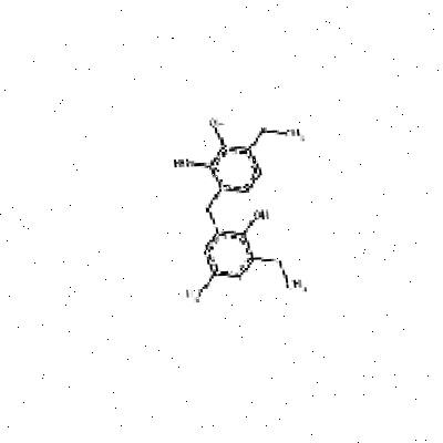 CCc1cc(C)cc(Cc2ccc(CC)c(O)c2O)c1O